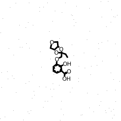 CCC1(COc2cccc(C(=O)O)c2O)OC2COCC2O1